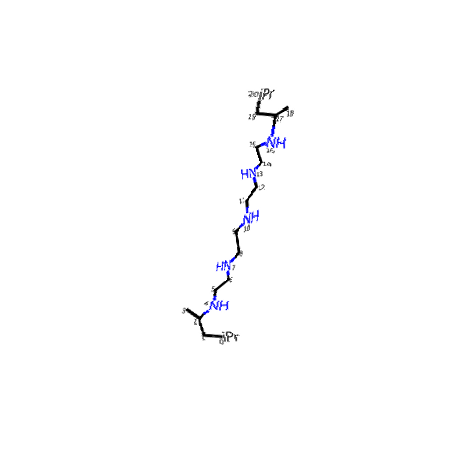 CC(C)CC(C)NCCNCCNCCNCCNC(C)CC(C)C